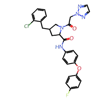 O=C(Nc1ccc(Oc2ccc(F)cc2)cc1)C1CC(Cc2ccccc2Cl)CN1C(=O)Cn1nccn1